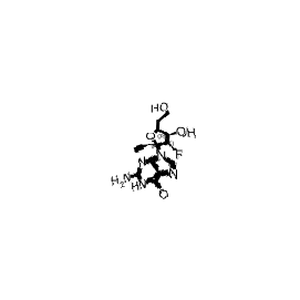 C#C[C@@]1(n2cnc3c(=O)[nH]c(N)nc32)OC(CCO)[C@@H](O)[C@H]1F